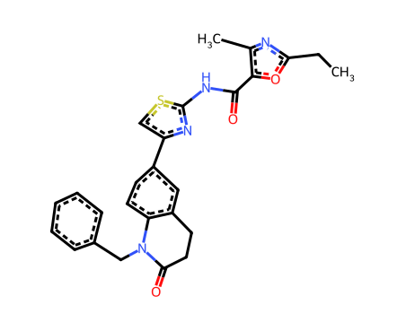 CCc1nc(C)c(C(=O)Nc2nc(-c3ccc4c(c3)CCC(=O)N4Cc3ccccc3)cs2)o1